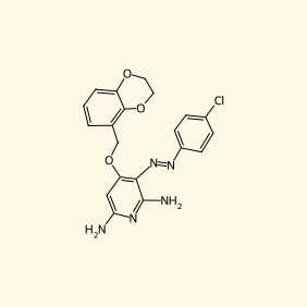 Nc1cc(OCc2cccc3c2OCCO3)c(N=Nc2ccc(Cl)cc2)c(N)n1